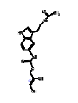 CC(=O)NCCc1c[nH]c2ccc(NC(=O)OC/C(O)=C/O)cc12